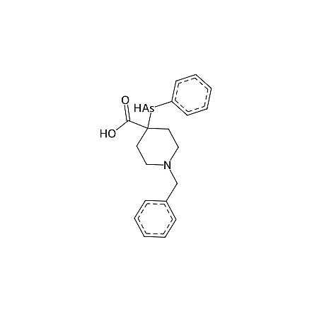 O=C(O)C1([AsH]c2ccccc2)CCN(Cc2ccccc2)CC1